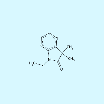 CCN1C(=O)C(C)(C)c2ncccc21